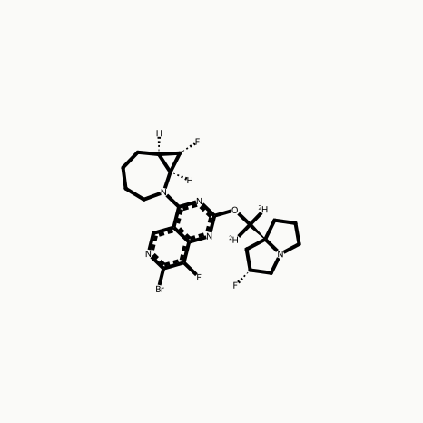 [2H]C([2H])(Oc1nc(N2CCCC[C@H]3[C@H](F)[C@H]32)c2cnc(Br)c(F)c2n1)[C@@]12CCCN1C[C@H](F)C2